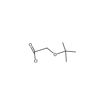 CC(C)(C)OCC(=O)Cl